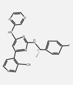 C[C@H](Nc1nc(Nc2cnccn2)cc(-c2ccncc2C#N)n1)c1ccc(F)cc1